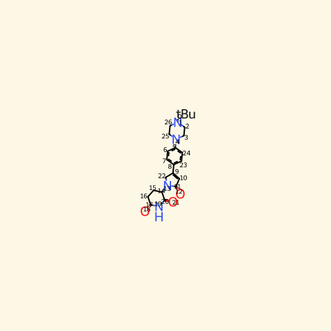 CC(C)(C)N1CCN(c2ccc(C3=CC(=O)N(C4CCC(=O)NC4=O)C3)cc2)CC1